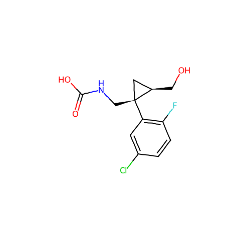 O=C(O)NC[C@@]1(c2cc(Cl)ccc2F)C[C@H]1CO